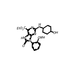 CCOC(=O)c1nc(NC2CCC(O)CC2)nc2c1[nH]c(=O)n2-c1ccccc1OC